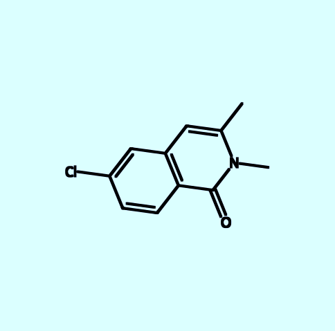 Cc1cc2cc(Cl)ccc2c(=O)n1C